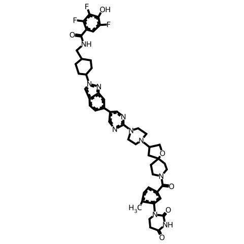 Cc1ccc(C(=O)N2CCC3(CC2)CC(N2CCN(c4ncc(-c5ccc6cn(C7CCC(CNC(=O)c8cc(F)c(O)c(F)c8F)CC7)nc6c5)cn4)CC2)CO3)cc1N1CCC(=O)NC1=O